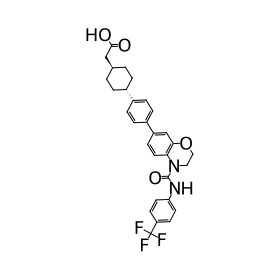 O=C(O)C[C@H]1CC[C@H](c2ccc(-c3ccc4c(c3)OCCN4C(=O)Nc3ccc(C(F)(F)F)cc3)cc2)CC1